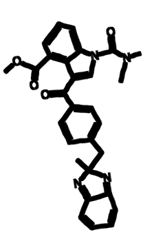 COC(=O)c1cccc2c1c(C(=O)c1ccc(CC3(C)N=c4ccccc4=N3)cc1)cn2C(=O)N(C)C